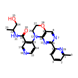 Cc1cccc(-c2ncc3c(n2)N(c2ccncc2C(=O)NC(C)CO)CCO3)n1